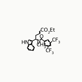 CCOC(=O)C=CCC(c1c[nH]c2ccccc12)N(C)C(=O)c1cc(C(F)(F)F)cc(C(F)(F)F)c1